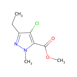 CCc1nn(C)c(C(=O)OC)c1Cl